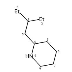 CCC(CC)CC1CCCCN1